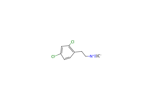 [C-]#[N+]CCc1ccc(Cl)cc1Cl